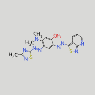 Cc1nsc(/N=N/c2cc(/N=N/c3snc4ncccc34)c(O)cc2N(C)C)n1